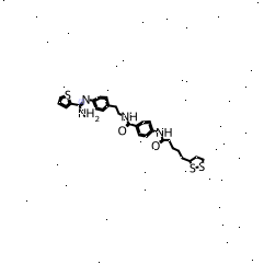 N/C(=N\c1ccc(CCNC(=O)c2ccc(NC(=O)CCCCC3CCSS3)cc2)cc1)c1cccs1